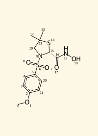 COc1ccc(S(=O)(=O)N2CC(C)(C)S[C@@H]2C(=O)NO)cc1